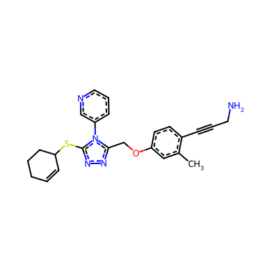 Cc1cc(OCc2nnc(SC3C=CCCC3)n2-c2cccnc2)ccc1C#CCN